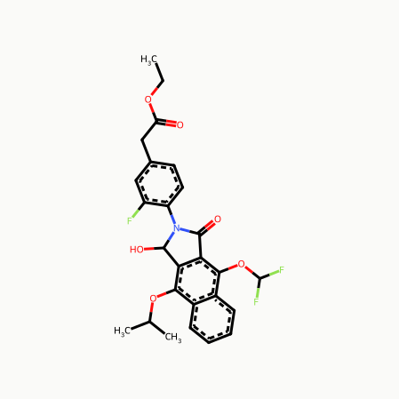 CCOC(=O)Cc1ccc(N2C(=O)c3c(c(OC(C)C)c4ccccc4c3OC(F)F)C2O)c(F)c1